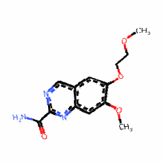 COCCOc1cc2cnc(C(N)=O)nc2cc1OC